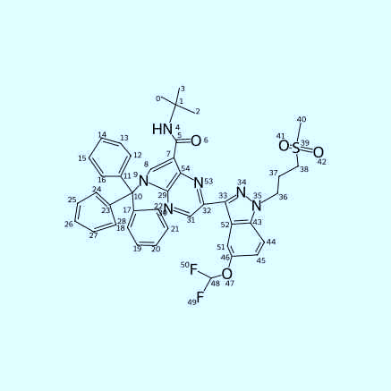 CC(C)(C)NC(=O)c1cn(C(c2ccccc2)(c2ccccc2)c2ccccc2)c2ncc(-c3nn(CCCS(C)(=O)=O)c4ccc(OC(F)F)cc34)nc12